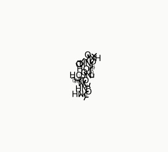 CC[C@H](C)[C@@H]([C@H](O)CC(=O)N1CCC[C@H]1[C@H](O)[C@@H](C)C(=O)N[C@@H](Cc1ccccc1)C(=O)NC(C)(C)C)N(C)C(=O)[C@@H](NC(=O)[C@@H](NC)C(C)C)C(C)C